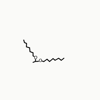 CCCCCCCCOCC(C)OCCCCCCCC